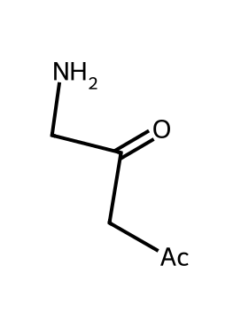 CC(=O)CC(=O)CN